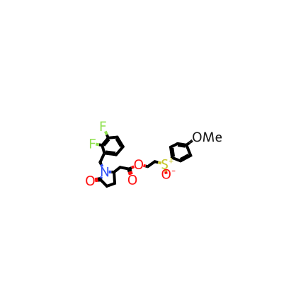 COc1ccc([S+]([O-])CCOC(=O)CC2CCC(=O)N2Cc2cccc(F)c2F)cc1